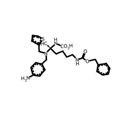 Nc1ccc(CN(Cc2cccs2)[C@@](C=O)(CCCCNC(=O)OCc2ccccc2)NC(=O)O)cc1